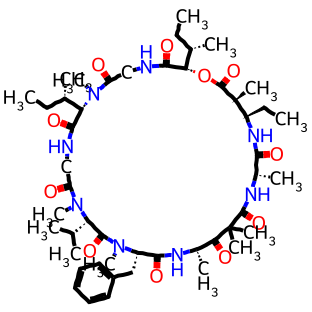 CC[C@H](C)[C@@H]1OC(=O)[C@@H](C)[C@@H](CC)NC(=O)[C@H](C)NC(=O)C(C)(C)C(=O)[C@H](C)NC(=O)[C@H](Cc2ccccc2)N(C)C(=O)[C@H](C(C)C)N(C)C(=O)CNC(=O)[C@H]([C@@H](C)CC)N(C)C(=O)CNC1=O